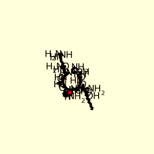 CCCCCCC[C@@H](O)CC(=O)N[C@H](CCN)C(=O)N[C@H]1CCNC(=O)[C@H]([C@@H](C)O)NC(=O)[C@H](CCN)NC(=O)[C@H](CCNC(=O)[C@@H](N)CCCNC(=N)N)NC(=O)[C@H](CC(C)C)NC(=O)[C@@H](Cc2ccccc2)NC(=O)[C@H](CCN)NC1=O